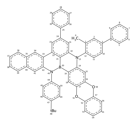 Cc1cc(-c2ccccc2)ccc1N1c2cc3c(cc2B2c4c(cc(-c5ccccc5)cc41)-c1cc4ccccc4cc1N2c1ccc(C(C)(C)C)cc1)Oc1ccccc1O3